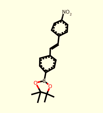 CC1(C)OB(c2ccc(C=Cc3ccc([N+](=O)[O-])cc3)cc2)OC1(C)C